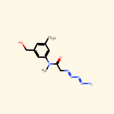 CN(C(=O)C/N=N/N=N/N)c1cc(CO)cc(C(=O)O)c1